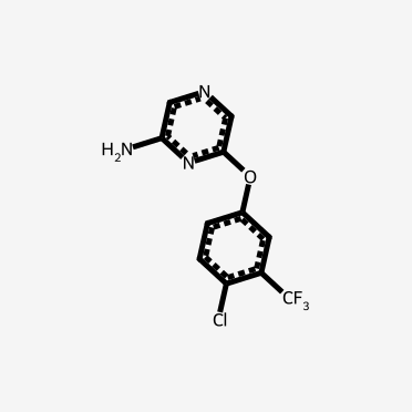 Nc1cncc(Oc2ccc(Cl)c(C(F)(F)F)c2)n1